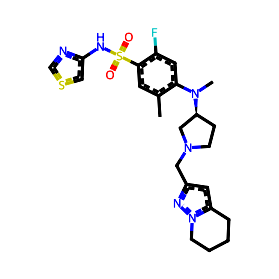 Cc1cc(S(=O)(=O)Nc2cscn2)c(F)cc1N(C)[C@H]1CCN(Cc2cc3n(n2)CCCC3)C1